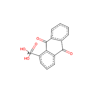 O=C1c2ccccc2C(=O)c2c1cccc2[As](=O)(O)O